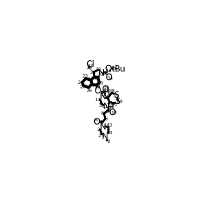 CN1CCN(C(=O)CCC(=O)N2CCN(C(=O)Oc3cc4c(c5ccccc35)[C@H](CCl)CN4C(=O)OC(C)(C)C)[C@H]3CSSC[C@H]32)CC1